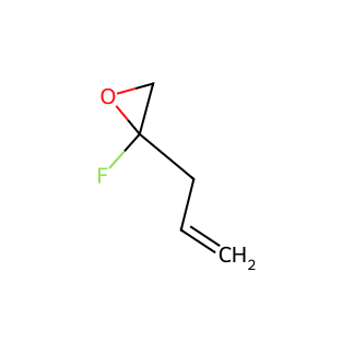 C=CCC1(F)CO1